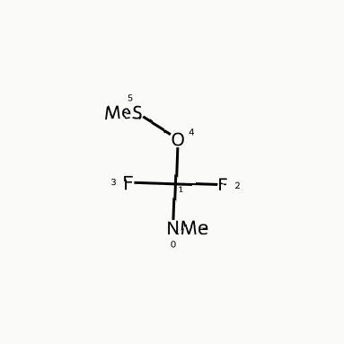 CNC(F)(F)OSC